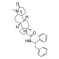 CN1C(=O)CC[C@@]2(C)C1CC[C@@H]1[C@H]2CC[C@]2(C)C(C(=O)NC(Cc3ccccc3)c3ccccc3)CC[C@@H]12